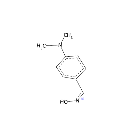 CN(C)c1ccc(/C=N\O)cc1